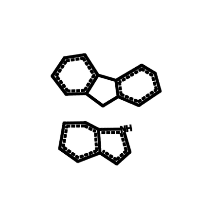 c1ccc2[nH]ccc2c1.c1ccc2c(c1)Cc1ccccc1-2